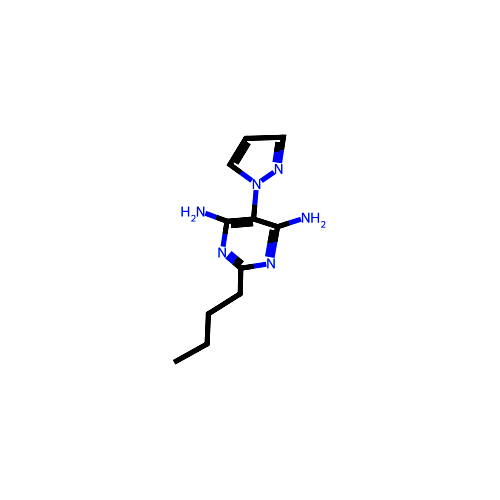 CCCCc1nc(N)c(-n2cccn2)c(N)n1